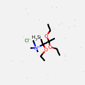 CCOC(C)(OCC)C([SiH3])(OCC)[N+](C)(C)C.[Cl-]